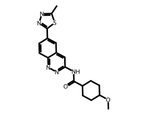 COC1CCC(C(=O)Nc2cc3cc(-c4nnc(C)s4)ccc3nn2)CC1